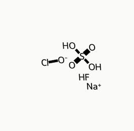 F.O=S(=O)(O)O.[Na+].[O-]Cl